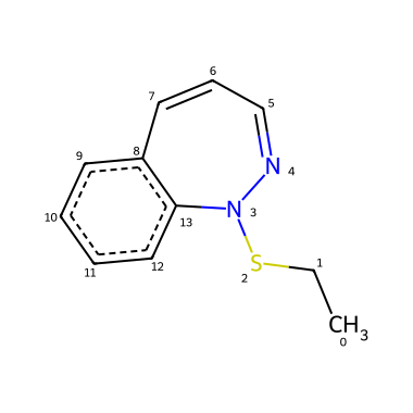 CCSN1N=CC=Cc2ccccc21